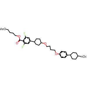 [CH2+][CH-]CCCCCCC1CCC(c2ccc(OCCCCOC3CCC(c4cc(F)c(C(=O)OCCCCOC)c(F)c4)CC3)cc2)CC1